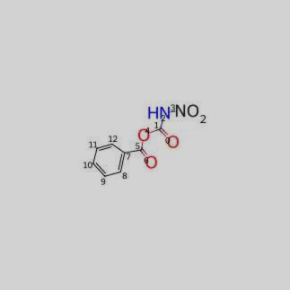 O=C(N[N+](=O)[O-])OC(=O)c1ccccc1